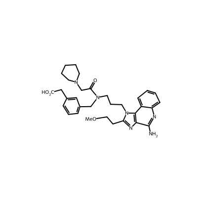 COCCc1nc2c(N)nc3ccccc3c2n1CCCN(Cc1cccc(CC(=O)O)c1)C(=O)CN1CCCCC1